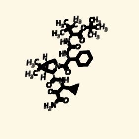 CC(C)(C)OC(=O)[C@H](NC(=O)N[C@H](C(=O)N1C[C@H]2[C@@H]([C@H]1C(=O)NC(C(=O)C(N)=O)C1CC1)C2(C)C)C1CCCCC1)C(C)(C)C